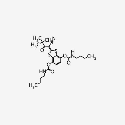 CCCCNC(=O)Oc1ccc(OC(=O)NCCCC)c2c1SC(=C(C#N)C(=O)C(C)(C)C)S2